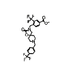 COC(=O)c1ccc(CN2CC3(CCN(Cc4ccc(C(F)(F)F)cc4)CC3)OC2=O)c(C(F)(F)F)c1